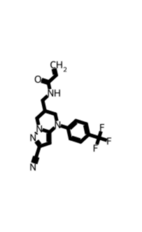 C=CC(=O)NCC1CN(c2ccc(C(F)(F)F)cc2)c2cc(C#N)nn2C1